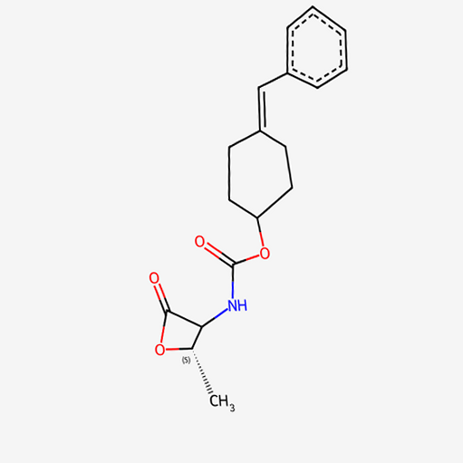 C[C@@H]1OC(=O)C1NC(=O)OC1CCC(=Cc2ccccc2)CC1